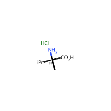 CC(C)[C@@](C)(N)C(=O)O.Cl